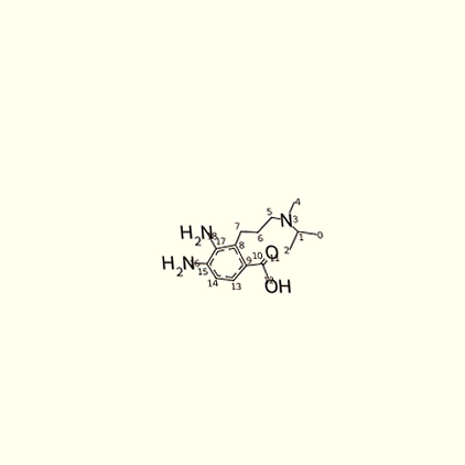 CC(C)N(C)CCCc1c(C(=O)O)ccc(N)c1N